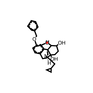 OC1CCC2(O)[C@H]3Cc4ccc(OCc5ccccc5)c5c4[C@@]2(CCN3CC2CC2)[C@H]1O5